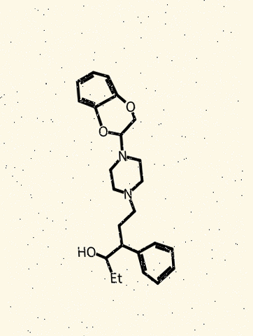 CCC(O)C(CCN1CCN(C2COc3ccccc3O2)CC1)c1ccccc1